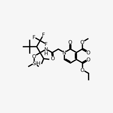 CCOC(=O)c1ccn(CC(=O)NC(O[SiH](C)C)(C(C)C)C(C(C)(C)C)C(F)(F)F)c(=O)c1C(=O)OC